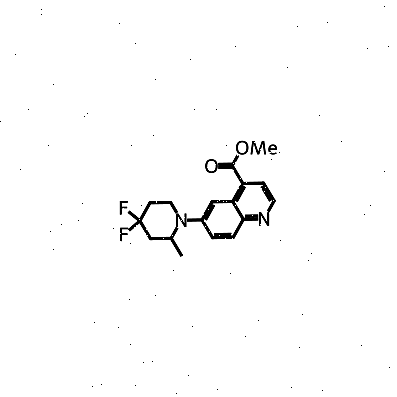 COC(=O)c1ccnc2ccc(N3CCC(F)(F)CC3C)cc12